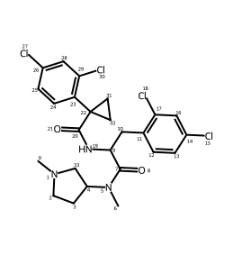 CN1CCC(N(C)C(=O)C(Cc2ccc(Cl)cc2Cl)NC(=O)C2(c3ccc(Cl)cc3Cl)CC2)C1